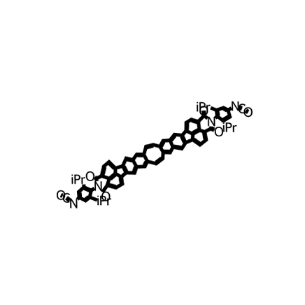 CC(C)c1cc(N=C=O)cc(C(C)C)c1-n1c(=O)c2ccc3c4cc5cc6ccc7cc8cc9c(cc8cc7ccc6cc5cc4c4ccc(c1=O)c2c34)c1ccc2c(=O)n(-c3c(C(C)C)cc(N=C=O)cc3C(C)C)c(=O)c3ccc9c1c32